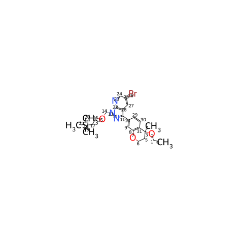 CCOC1(C)CCOc2cc(-c3nn(COCC[Si](C)(C)C)c4ncc(Br)cc34)ccc21